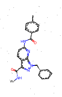 Cc1ccc(C(=O)Nc2ccc3c(C(=O)NC(C)C)nn(Cc4ccccc4)c3n2)cc1